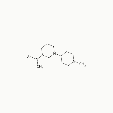 CC(=O)N(C)C1CCCN(C2CCN(C)CC2)C1